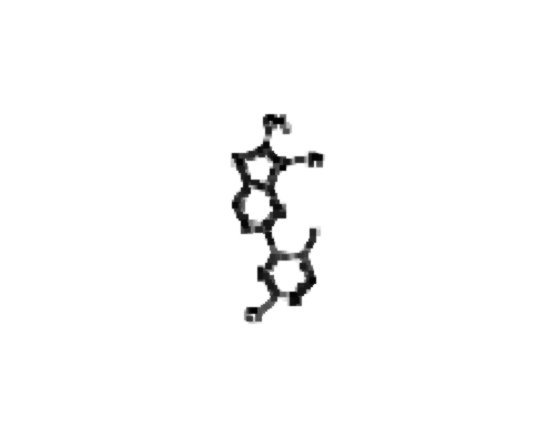 Cc1nc2cnc(-c3nc(Cl)ncc3F)nc2n1C(C)C